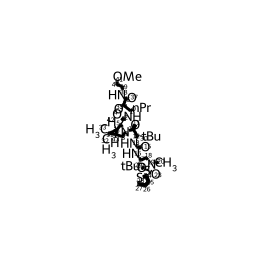 CCCC(NC(=O)[C@@H]1[C@@H]2[C@H](CN1C(=O)[C@@H](NC(=O)N[C@H](CN(C)S(=O)(=O)c1cccs1)C(C)(C)C)C(C)(C)C)C2(C)C)C(=O)C(=O)NCCOC